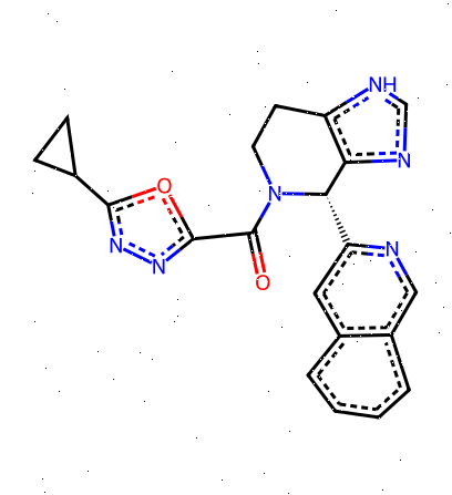 O=C(c1nnc(C2CC2)o1)N1CCc2[nH]cnc2[C@@H]1c1cc2ccccc2cn1